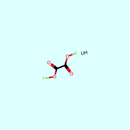 O=C(OF)C(=O)OF.[LiH]